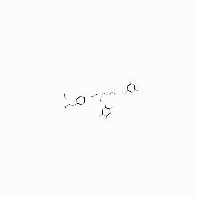 CCOC(Cc1ccc(OCCN(CCCCOCc2cc(Cl)cc(Cl)c2)C(=O)Oc2cc(C)c(C)cc2C)cc1)C(=O)O